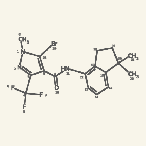 Cn1nc(C(F)(F)F)c(C(=O)Nc2cccc3c2CCC3(C)C)c1Br